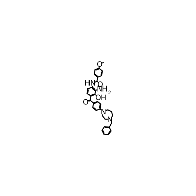 COc1ccc(C(=O)Nc2ccc(C(=O)c3ccc(N4CCCN(Cc5ccccc5)CC4)cc3)c(O)c2N)cc1